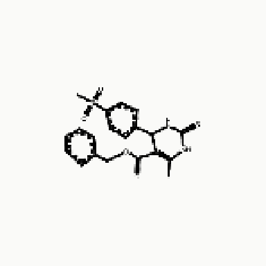 CC1=C(C(=O)OCc2ccccc2)C(c2ccc(S(C)(=O)=O)cc2)NC(=S)N1